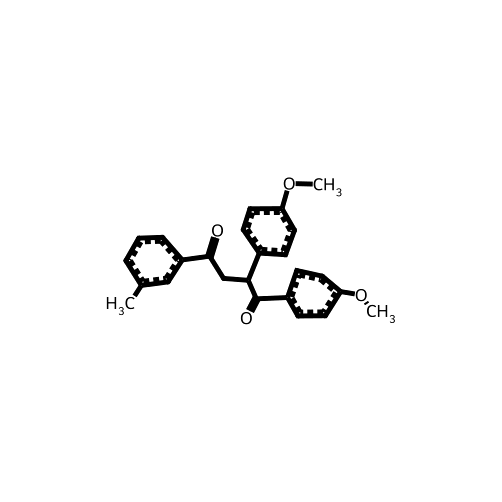 COc1ccc(C(=O)C(CC(=O)c2cccc(C)c2)c2ccc(OC)cc2)cc1